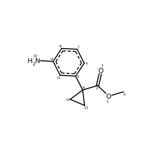 COC(=O)C1(c2cccc(N)c2)CC1